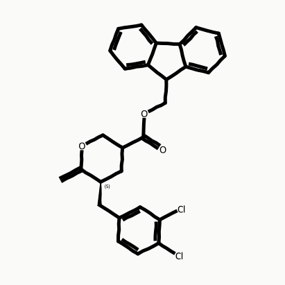 C=C1OCC(C(=O)OCC2c3ccccc3-c3ccccc32)C[C@H]1Cc1ccc(Cl)c(Cl)c1